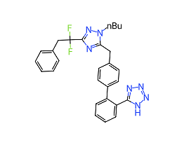 CCCCn1nc(C(F)(F)Cc2ccccc2)nc1Cc1ccc(-c2ccccc2-c2nnn[nH]2)cc1